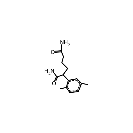 Cc1ccc(C)c(C(CCCC(N)=O)C(N)=O)c1